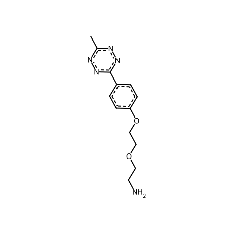 Cc1nnc(-c2ccc(OCCOCCN)cc2)nn1